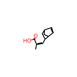 CC(=CC1CC2C=CC1C2)C(=O)O